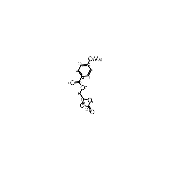 COc1ccc(C(=O)OCC2OC(=O)O2)cc1